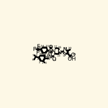 Cc1cc(C(C)C)ccc1CNC(=O)[C@H]1CN(c2nc(C)c(C(=O)O)s2)CCN1S(=O)(=O)c1ccc(C(F)(F)F)cc1